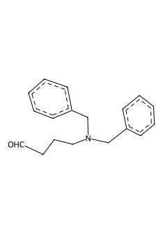 O=CCCCN(Cc1ccccc1)Cc1ccccc1